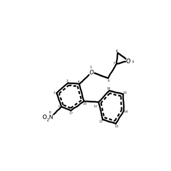 O=[N+]([O-])c1ccc(OCC2CO2)c(-c2ccccc2)c1